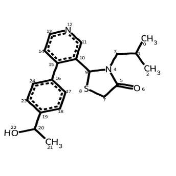 CC(C)CN1C(=O)CSC1c1cnccc1-c1ccc(C(C)O)cc1